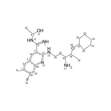 Cc1cc2cc(C(=N)NC(C)O)c(NCCC(N)C(C)OC3CCCCC3)nc2cc1F